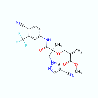 C=C(CO[C@@](C)(Cn1cc(C#N)cn1)C(=O)Nc1ccc(C#N)c(C(F)(F)F)c1)C(=O)OC